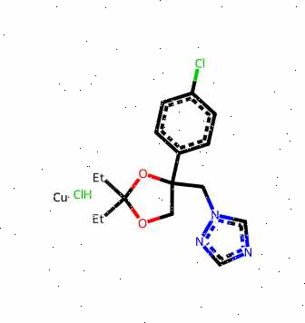 CCC1(CC)OCC(Cn2cncn2)(c2ccc(Cl)cc2)O1.Cl.[Cu]